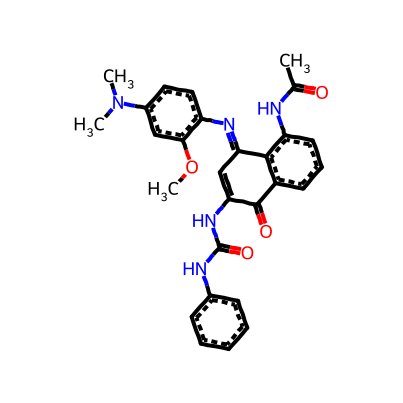 COc1cc(N(C)C)ccc1N=C1C=C(NC(=O)Nc2ccccc2)C(=O)c2cccc(NC(C)=O)c21